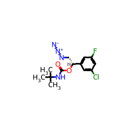 CC(C)(C)NC(=O)O[C@H](CN=[N+]=[N-])c1cc(F)cc(Cl)c1